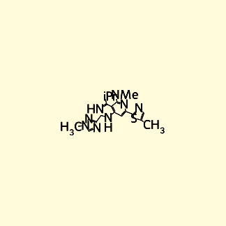 CNc1nc(-c2ncc(C)s2)cc(NCc2ncn(C)n2)c1C(=N)C(C)C